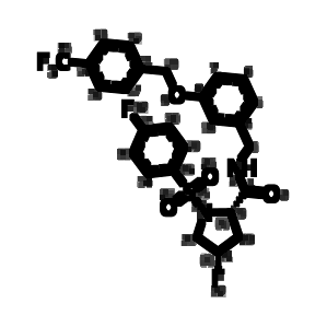 O=C(NCc1cccc(OCc2ccc(C(F)(F)F)cc2)c1)[C@@H]1C[C@H](F)CN1S(=O)(=O)c1ccc(F)cc1